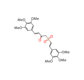 COc1cc(C=CS(=O)(=O)CC(=O)/C=C/c2cc(OC)c(OC)c(OC)c2)cc(OC)c1OC